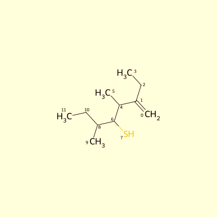 C=C(CC)C(C)C(S)C(C)CC